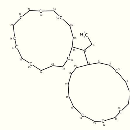 CCC(C1CCCCCCCCCCCCCCCC1)C1CCCCCCCCCCCCCCCC1